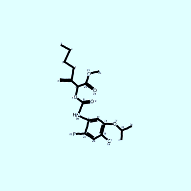 C=C(CCCC)C(OC(=O)Nc1cc(OC(C)C)c(Cl)cc1F)C(=O)OC